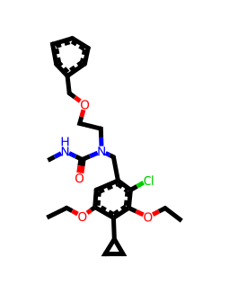 CCOc1cc(CN(CCOCc2ccccc2)C(=O)NC)c(Cl)c(OCC)c1C1CC1